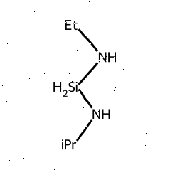 CCN[SiH2]NC(C)C